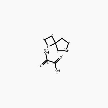 C1CC2(CCO2)CN1.O=C(O)C(=O)O